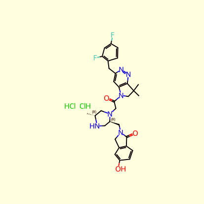 C[C@@H]1CN(CC(=O)N2CC(C)(C)c3nnc(Cc4ccc(F)cc4F)cc32)[C@@H](CN2Cc3cc(O)ccc3C2=O)CN1.Cl.Cl